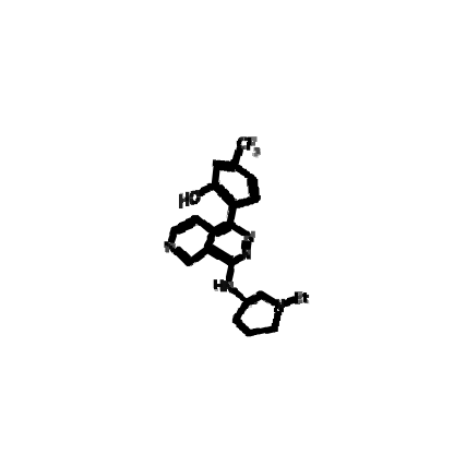 CCN1CCC[C@@H](Nc2nnc(-c3ccc(C(F)(F)F)cc3O)c3ccncc23)C1